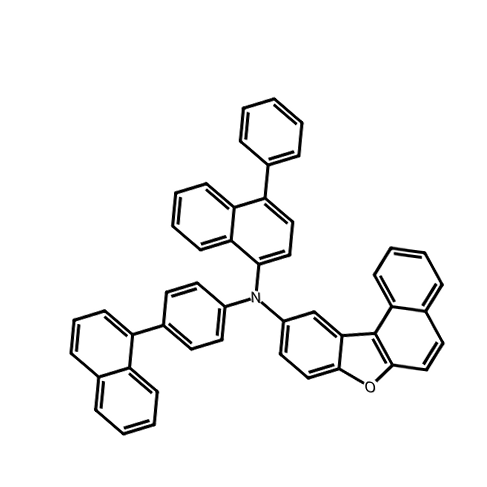 c1ccc(-c2ccc(N(c3ccc(-c4cccc5ccccc45)cc3)c3ccc4oc5ccc6ccccc6c5c4c3)c3ccccc23)cc1